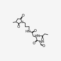 CCC(=O)NC(CC(=O)NCCCN1C(=O)CC(C)C1=O)C(=O)NC=O